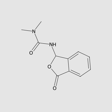 CN(C)C(=O)NC1OC(=O)c2ccccc21